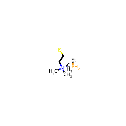 CCP.C[N+](C)(C)CCS